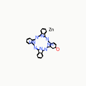 O=C1C=Cc2c(c3nc4nc(nc5[nH]c(nc6nc(nc2[nH]3)-c2ccccc2-6)c2ccccc52)-c2ccccc2-4)C1.[Zn]